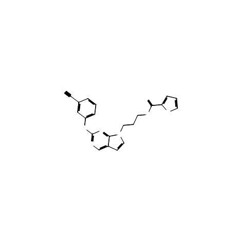 N#Cc1cccc(Nc2ncc3ccn(CCCNC(=O)c4cccs4)c3n2)c1